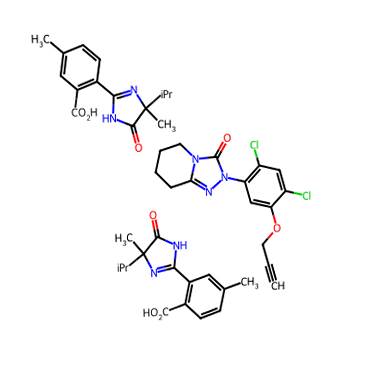 C#CCOc1cc(-n2nc3n(c2=O)CCCC3)c(Cl)cc1Cl.Cc1ccc(C(=O)O)c(C2=NC(C)(C(C)C)C(=O)N2)c1.Cc1ccc(C2=NC(C)(C(C)C)C(=O)N2)c(C(=O)O)c1